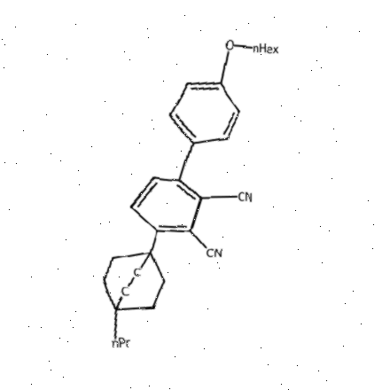 CCCCCCOc1ccc(-c2ccc(C34CCC(CCC)(CC3)CC4)c(C#N)c2C#N)cc1